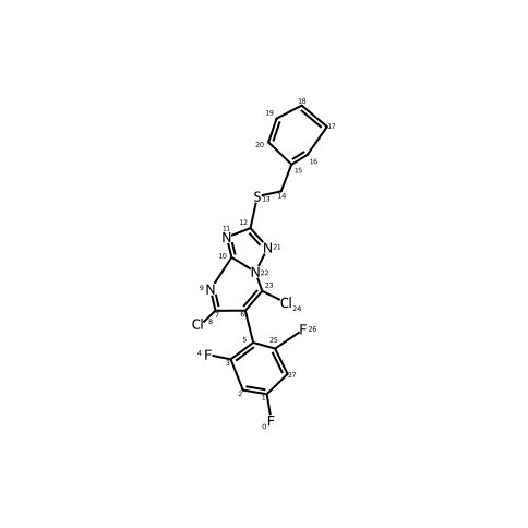 Fc1cc(F)c(-c2c(Cl)nc3nc(SCc4ccccc4)nn3c2Cl)c(F)c1